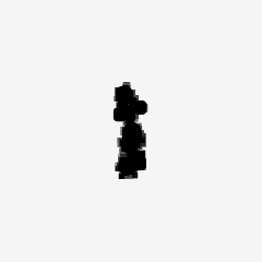 O=C1CC2(CCCC2)CC(=O)N1CC[C@@H]1CC[C@H]2CN(c3noc4ccccc34)CCN2C1